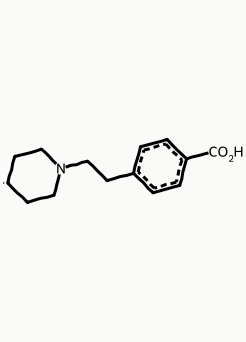 O=C(O)c1ccc(CCN2CC[CH]CC2)cc1